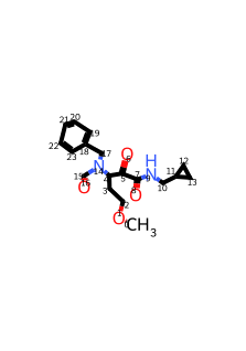 COCCC(C(=O)C(=O)NCC1CC1)N(C=O)Cc1ccccc1